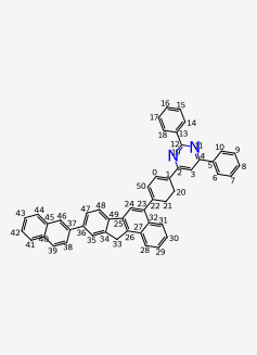 C1=C(c2cc(-c3ccccc3)nc(-c3ccccc3)n2)CCC(c2cc3c(c4ccccc24)Cc2cc(-c4ccc5ccccc5c4)ccc2-3)=C1